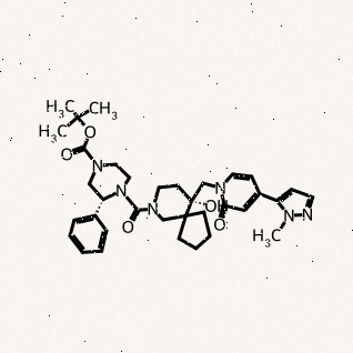 Cn1nccc1-c1ccn(C[C@]2(O)CCN(C(=O)N3CCN(C(=O)OC(C)(C)C)C[C@H]3c3ccccc3)CC23CCCC3)c(=O)c1